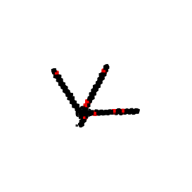 [CH2]CCCc1cc(OCCCCCCCCCCCCCCCCCCCCCCC)c(OCCCCCCCCCCCCCCCCCCCCCCC)c(OCCCCCCCCCCCCCCCCCCCCCCC)c1